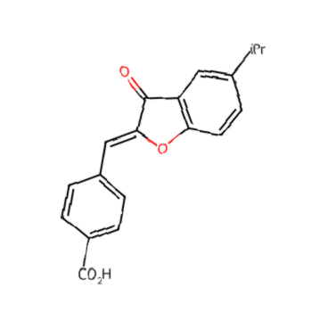 CC(C)c1ccc2c(c1)C(=O)/C(=C/c1ccc(C(=O)O)cc1)O2